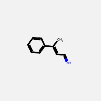 C/C(=C\C=N)c1ccccc1